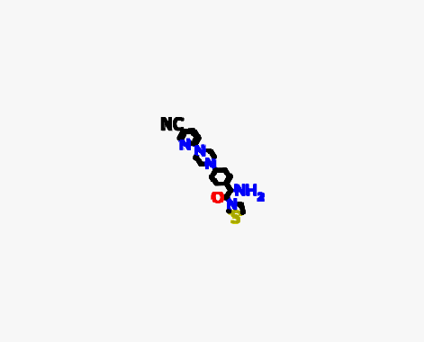 N#Cc1ccc(N2CCN(C3CCC([C@H](N)C(=O)N4CCSC4)CC3)CC2)nc1